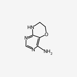 Nc1ncnc2c1OCCN2